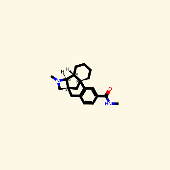 CNC(=O)c1ccc2c(c1)[C@@]13CCCC[C@H]1[C@@H]1N(C)C[C@]1(C2)C3